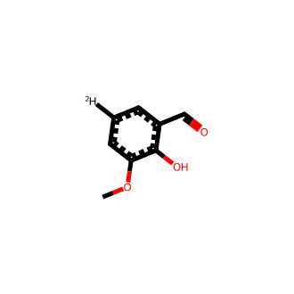 [2H]c1cc(C=O)c(O)c(OC)c1